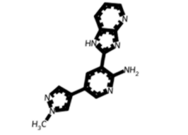 Cn1cc(-c2cnc(N)c(-c3nc4ncccc4[nH]3)c2)cn1